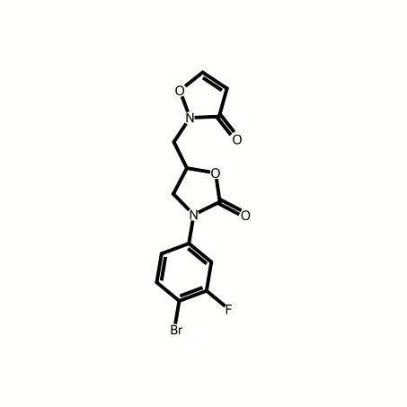 O=C1OC(Cn2occc2=O)CN1c1ccc(Br)c(F)c1